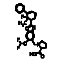 CC1(F)C(c2ccccc2)=CC=CC1c1nc2cc(CN3CCC[C@H]3C(=O)O)c(OC(F)F)cc2o1